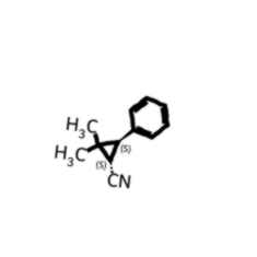 CC1(C)[C@@H](C#N)[C@@H]1c1ccccc1